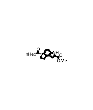 CCCCCCC(=O)N1CCc2c1ccc1[nH]c(C(=O)OC)cc21